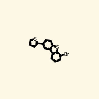 Brc1cccc2c1sc1ccc(-c3cccs3)cc12